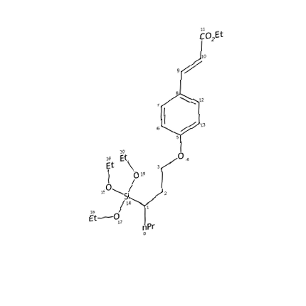 CCCC(CCOc1ccc(/C=C/C(=O)OCC)cc1)[Si](OCC)(OCC)OCC